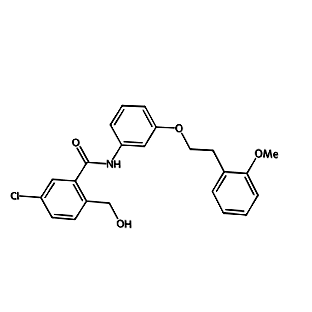 COc1ccccc1CCOc1cccc(NC(=O)c2cc(Cl)ccc2CO)c1